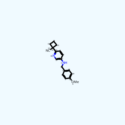 COc1ccc(CNc2ccc(C3(C#N)CCC3)nc2)cc1